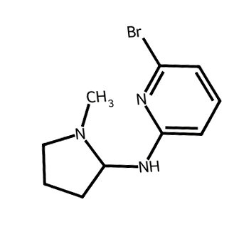 CN1CCCC1Nc1cccc(Br)n1